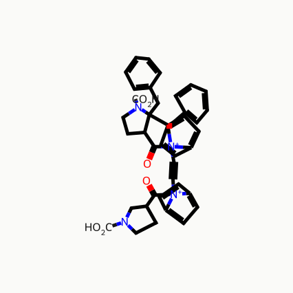 O=C(O)N1CCC(C(=O)[N+]2(C#C[N+]3(C(=O)C4CCN(C(=O)O)C4(Cc4ccccc4)Cc4ccccc4)C4=CC=C3C=C4)C3=CC=C2C=C3)C1